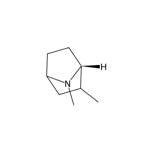 CC1CC2CC[C@H]1N2C